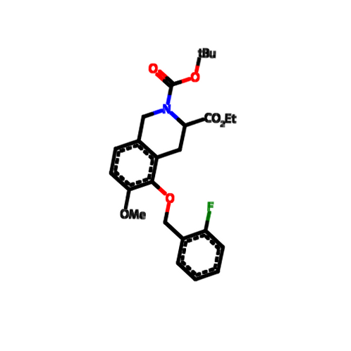 CCOC(=O)C1Cc2c(ccc(OC)c2OCc2ccccc2F)CN1C(=O)OC(C)(C)C